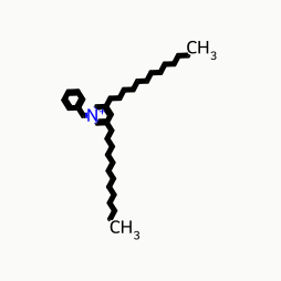 CCCCCCCCCCCCCc1cc(CCCCCCCCCCCCC)c[n+](Cc2ccccc2)c1